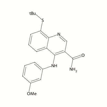 COc1cccc(Nc2c(C(N)=O)cnc3c(SC(C)(C)C)cccc23)c1